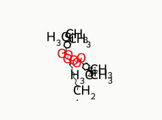 [CH2]CCCCCCCC[C](OOC(=O)c1ccc([Si](C)(C)C)cc1)OOC(=O)c1ccc([Si](C)(C)C)cc1